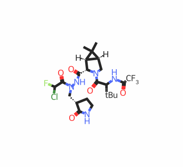 CC(C)(C)C(NC(=O)C(F)(F)F)C(=O)N1C[C@H]2[C@@H]([C@H]1C(=O)NN(C[C@@H]1CCNC1=O)C(=O)C(F)Cl)C2(C)C